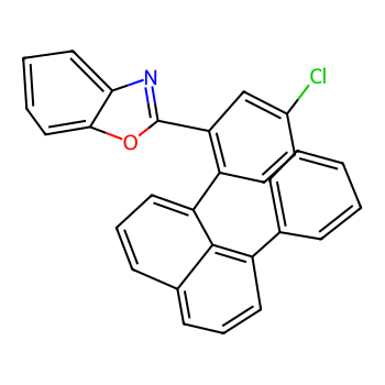 Clc1ccc(-c2cccc3cccc(-c4ccccc4)c23)c(-c2nc3ccccc3o2)c1